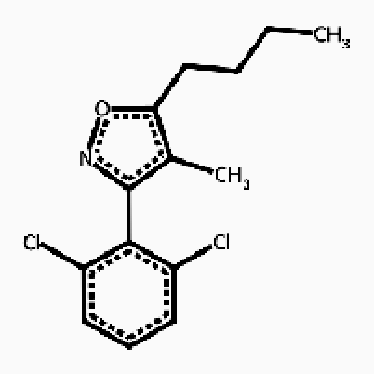 CCCCc1onc(-c2c(Cl)cccc2Cl)c1C